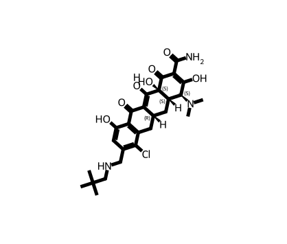 CN(C)[C@@H]1C(O)=C(C(N)=O)C(=O)[C@@]2(O)C(O)=C3C(=O)c4c(O)cc(CNCC(C)(C)C)c(Cl)c4C[C@H]3C[C@@H]12